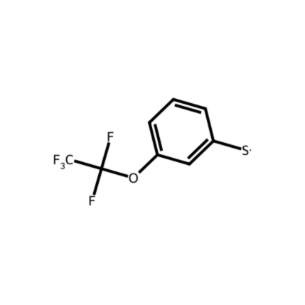 FC(F)(F)C(F)(F)Oc1cccc([S])c1